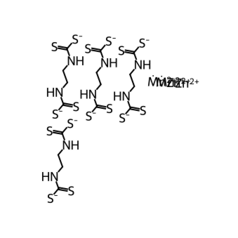 S=C([S-])NCCNC(=S)[S-].S=C([S-])NCCNC(=S)[S-].S=C([S-])NCCNC(=S)[S-].S=C([S-])NCCNC(=S)[S-].[Mn+2].[Mn+2].[Zn+2].[Zn+2]